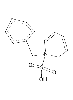 O=S(=O)(O)[N+]1(Cc2ccccc2)C=CC=CC1